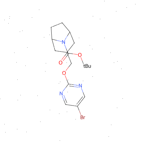 CC(C)(C)OC(=O)N1C2CCC1CC(COc1ncc(Br)cn1)C2